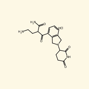 Cl.NCCC(C(N)=O)C(=O)c1cccc2c1CN(C1CCC(=O)NC1=O)C2